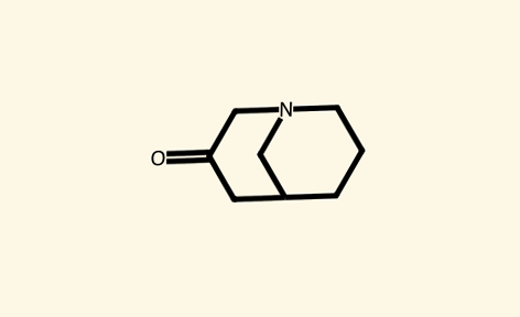 O=C1CC2CCCN(C1)C2